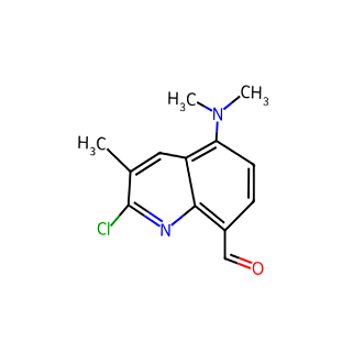 Cc1cc2c(N(C)C)ccc(C=O)c2nc1Cl